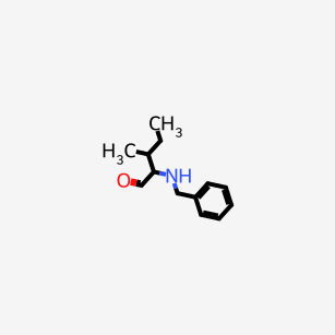 CCC(C)C(C=O)NCc1ccccc1